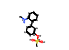 CNc1c[c]ccc1-c1cccc(OS(C)(=O)=O)c1